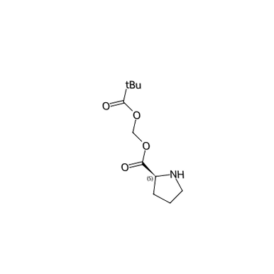 CC(C)(C)C(=O)OCOC(=O)[C@@H]1CCCN1